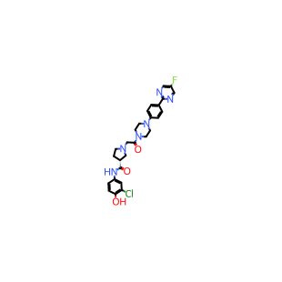 O=C(Nc1ccc(O)c(Cl)c1)[C@@H]1CCN(CC(=O)N2CCN(c3ccc(-c4ncc(F)cn4)cc3)CC2)C1